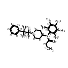 [2H]c1c([2H])c([2H])c(N(C(=O)CC)C2CCN(C([2H])([2H])C([2H])([2H])c3ccccc3)CC2)c([2H])c1[2H]